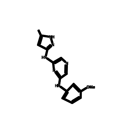 COc1cccc(Nc2cncc(Nc3cc(C)[nH]n3)n2)c1